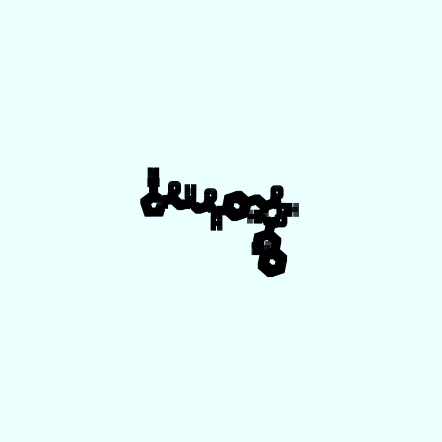 N#CC1CCCN1C(=O)CNCC(=O)Nc1ccc(CC(NC(=O)C(CS)Cc2ccccc2)C(=O)O)cc1